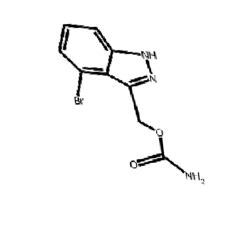 NC(=O)OCc1n[nH]c2cccc(Br)c12